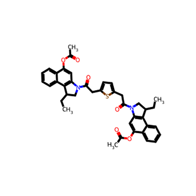 CCC1CN(C(=O)Cc2ccc(CC(=O)N3CC(CC)c4c3cc(OC(C)=O)c3ccccc43)s2)c2cc(OC(C)=O)c3ccccc3c21